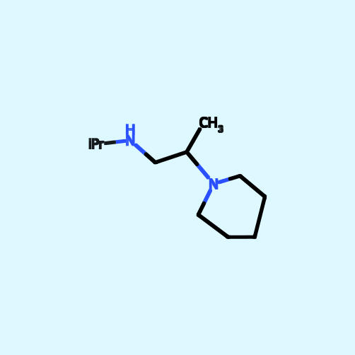 CC(C)NCC(C)N1CCCCC1